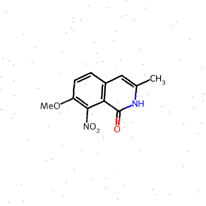 COc1ccc2cc(C)[nH]c(=O)c2c1[N+](=O)[O-]